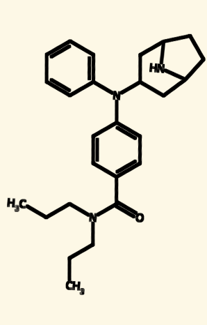 CCCN(CCC)C(=O)c1ccc(N(c2ccccc2)C2CC3CCC(C2)N3)cc1